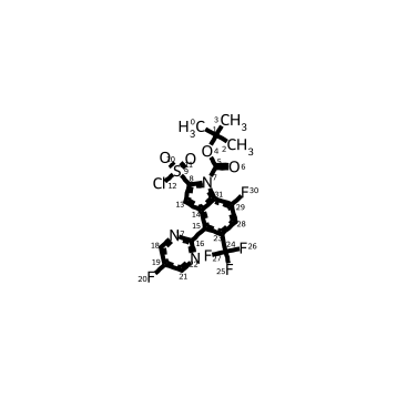 CC(C)(C)OC(=O)n1c(S(=O)(=O)Cl)cc2c(-c3ncc(F)cn3)c(C(F)(F)F)cc(F)c21